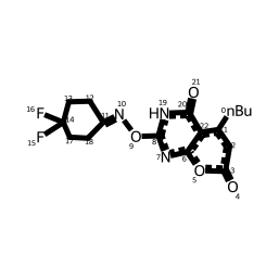 CCCCc1cc(=O)oc2nc(ON=C3CCC(F)(F)CC3)[nH]c(=O)c12